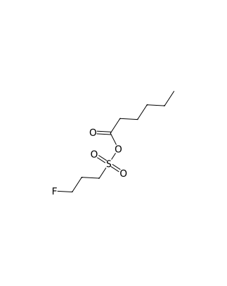 CCCCCC(=O)OS(=O)(=O)CCCF